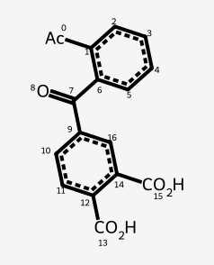 CC(=O)c1ccccc1C(=O)c1ccc(C(=O)O)c(C(=O)O)c1